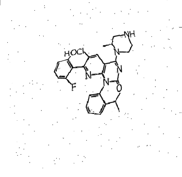 CC(C)c1ccccc1-n1c(=O)nc(N2CCNC[C@@H]2C)c2cc(Cl)c(-c3c(O)cccc3F)nc21